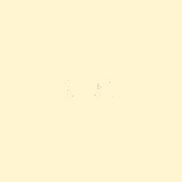 CB1OCC(CB2OCC(C)(C)CO2)CO1